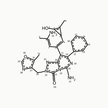 CC1=C(O)C1/C=C(\C=C(\C)N)c1c(-c2ccccc2)nc(N)n2c(=O)n(Cc3ncoc3C)nc12